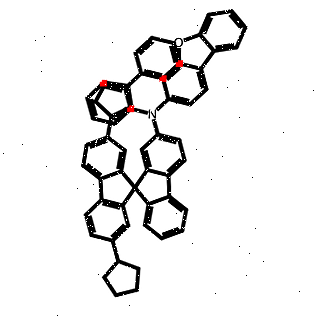 c1ccc(-c2ccccc2N(c2ccc3c(c2)C2(c4ccccc4-3)c3cc(C4CCCC4)ccc3-c3ccc(C4CCCC4)cc32)c2ccc3c(c2)oc2ccccc23)cc1